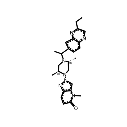 CCc1cnc2ccc(C(C)N3C[C@H](C)N(n4cc5c(ccc(=O)n5C)n4)C[C@H]3C)cc2n1